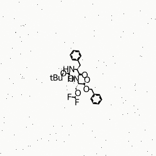 CC(C)(C)OC(=O)N[C@@H](Cc1ccccc1)C(=O)N[C@@H](COC(F)F)C(=O)OCc1ccccc1